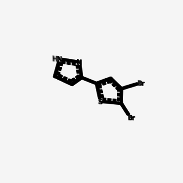 Brc1cc(-c2cc[nH]n2)sc1Br